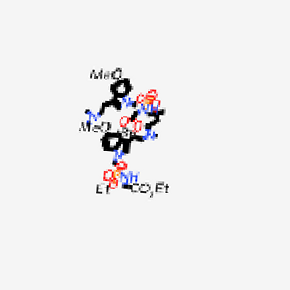 CCOC(=O)CNP(=O)(OCC)OCn1cc(CCN(C)CCC(C)(C)OP(=O)(NCC(=O)OC(C)(C)C)OCn2cc(CCN(C)C)c3cc(OC)ccc32)c2cc(OC)ccc21